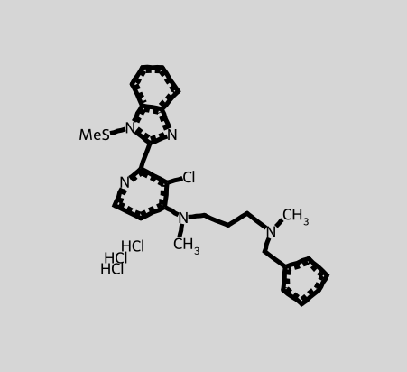 CSn1c(-c2nccc(N(C)CCCN(C)Cc3ccccc3)c2Cl)nc2ccccc21.Cl.Cl.Cl